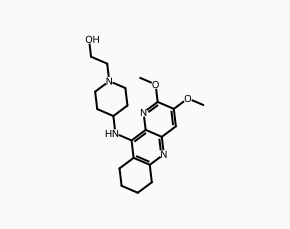 COc1cc2nc3c(c(NC4CCN(CCO)CC4)c2nc1OC)CCCC3